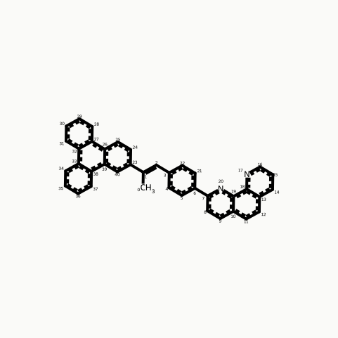 C/C(=C\c1ccc(-c2ccc3ccc4cccnc4c3n2)cc1)c1ccc2c3ccccc3c3ccccc3c2c1